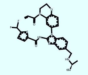 C=CC(=O)N1CCOc2ccc(-n3c(NC(=O)c4ccc(C(F)F)s4)nc4cc(CN[C@@H](C)C(C)(C)C)ccc43)cc21